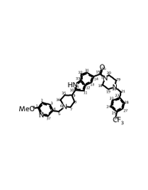 COc1ccc(CN2CCC(c3cc4cc(C(=O)N5CCN(Cc6ccc(C(F)(F)F)cc6)CC5)ccc4[nH]3)CC2)cn1